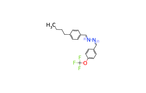 CCCCc1ccc(/C=N/N=C\c2ccc(OC(F)(F)F)cc2)cc1